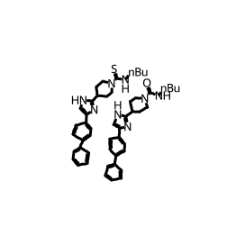 CCCCNC(=O)N1CCC(c2nc(-c3ccc(-c4ccccc4)cc3)c[nH]2)CC1.CCCCNC(=S)N1CCC(c2nc(-c3ccc(-c4ccccc4)cc3)c[nH]2)CC1